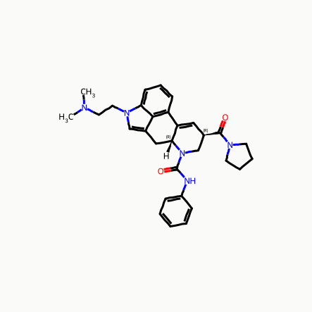 CN(C)CCn1cc2c3c(cccc31)C1=C[C@@H](C(=O)N3CCCC3)CN(C(=O)Nc3ccccc3)[C@@H]1C2